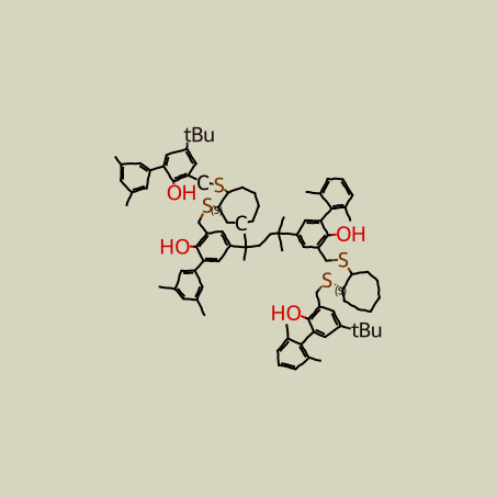 Cc1cc(C)cc(-c2cc(C(C)(C)C)cc(CSC3CCCCCC[C@@H]3SCc3cc(C(C)(C)CCC(C)(C)c4cc(CSC5CCCCCC[C@@H]5SCc5cc(C(C)(C)C)cc(-c6c(C)cccc6C)c5O)c(O)c(-c5c(C)cccc5C)c4)cc(-c4cc(C)cc(C)c4)c3O)c2O)c1